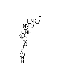 O=C(Cn1cc(Nc2ncnc3cc(OCCCN4CCNCC4)ccc23)nn1)Nc1cccc(F)c1